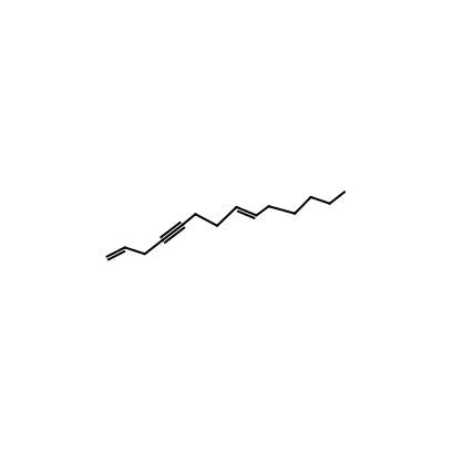 C=CCC#CCCC=CCCCCC